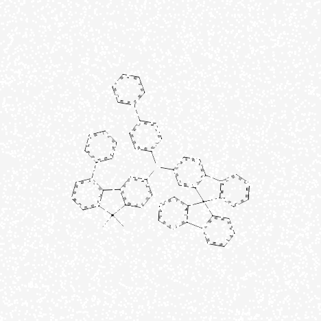 CC1(C)c2ccc(N(c3ccc(-c4ccccc4)cc3)c3ccc4c(c3)C3(c5ccccc5-c5ccccc53)c3ccccc3-4)cc2-c2c(-c3ccccc3)cccc21